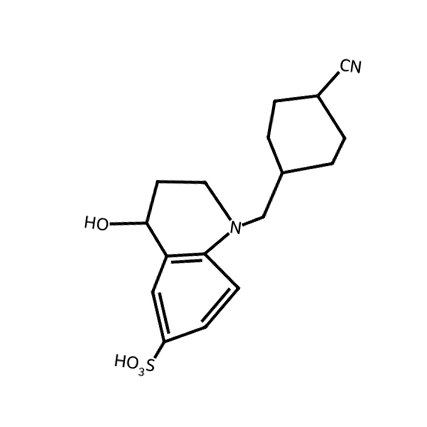 N#CC1CCC(CN2CCC(O)c3cc(S(=O)(=O)O)ccc32)CC1